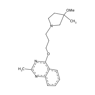 COC1(C)CCN(CCCOc2nc(C)nc3ccccc23)C1